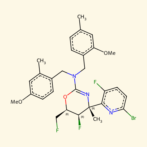 COc1ccc(CN(Cc2ccc(C)cc2OC)C2=N[C@](C)(c3nc(Br)ccc3F)[C@@H](F)[C@@H](CF)O2)c(C)c1